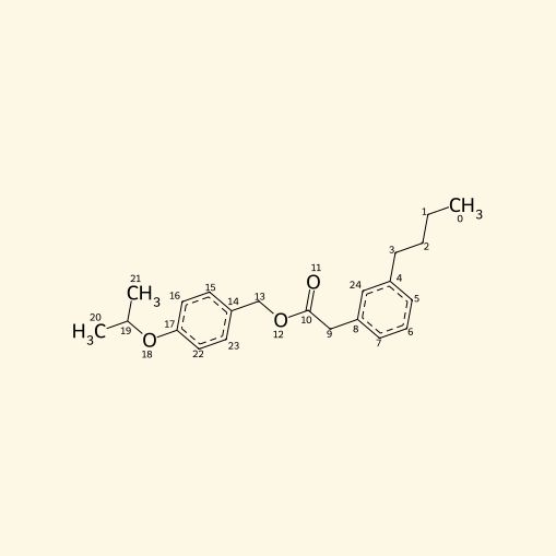 CCCCc1cccc(CC(=O)OCc2ccc(OC(C)C)cc2)c1